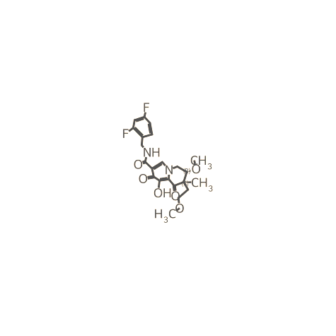 COCC[C@]1(C)C(=O)c2c(O)c(=O)c(C(=O)NCc3ccc(F)cc3F)cn2C[C@@H]1OC